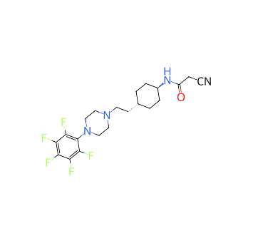 N#CCC(=O)N[C@H]1CC[C@H](CCN2CCN(c3c(F)c(F)c(F)c(F)c3F)CC2)CC1